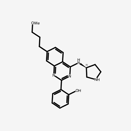 COCCCc1ccc2c(N[C@H]3CCNC3)nc(-c3ccccc3O)nc2c1